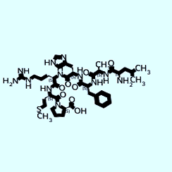 CSCC[C@H](NC(=O)[C@H](CCCNC(=N)N)NC(=O)[C@H](Cc1c[nH]cn1)NC(=O)[C@H](Cc1ccccc1)NC(=O)[C@H](C)NC(=O)[C@@H](N)CC(C)C)C(=O)N1CCC[C@H]1C(=O)O